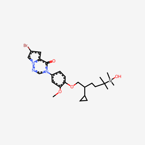 COc1cc(-n2cnn3cc(Br)cc3c2=O)ccc1OCC(CCC(C)(C)[Si](C)(C)O)C1CC1